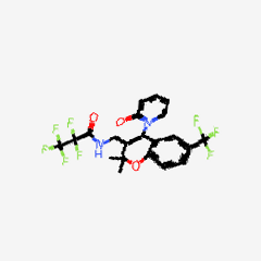 CC1(C)Oc2ccc(C(F)(F)F)cc2C(n2ccccc2=O)=C1CNC(=O)C(F)(F)C(F)(F)F